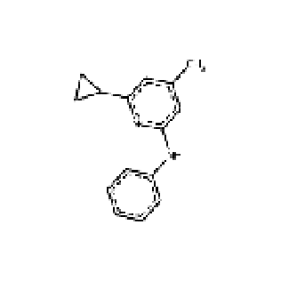 Cc1cc(Nc2ccccc2)nc(C2CC2)c1